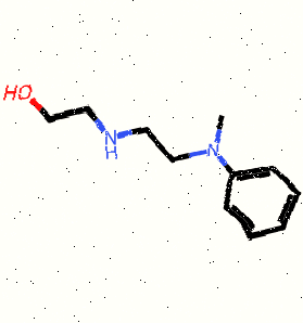 CN(CCNCCO)c1ccccc1